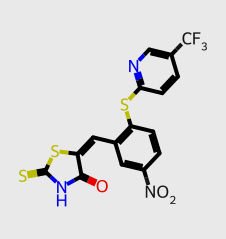 O=C1NC(=S)SC1=Cc1cc([N+](=O)[O-])ccc1Sc1ccc(C(F)(F)F)cn1